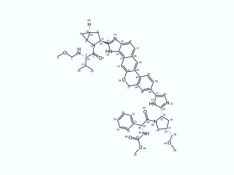 COCN[C@H](C(=O)N1C2C[C@H]2C[C@H]1c1nc2ccc3cc4c(cc3c2[nH]1)OCc1cc(-c2cnc([C@@H]3C[C@H](COC)CN3C(=O)[C@H](NC(=O)OC)c3ccccc3)[nH]2)ccc1-4)C(C)C